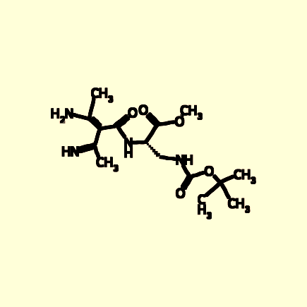 COC(=O)[C@H](CNC(=O)OC(C)(C)C)NC(=O)/C(C(C)=N)=C(\C)N